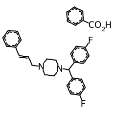 Fc1ccc(C(c2ccc(F)cc2)N2CCN(C/C=C/c3ccccc3)CC2)cc1.O=C(O)c1ccccc1